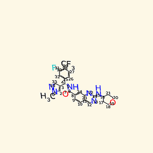 Cn1cc([C@@H](NC(=O)c2ccc3cnc(NC4CCOCC4)nc3c2)c2ccc(C(F)(F)F)c(F)c2)cn1